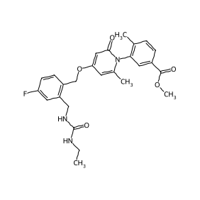 CCNC(=O)NCc1cc(F)ccc1COc1cc(C)n(-c2cc(C(=O)OC)ccc2C)c(=O)c1